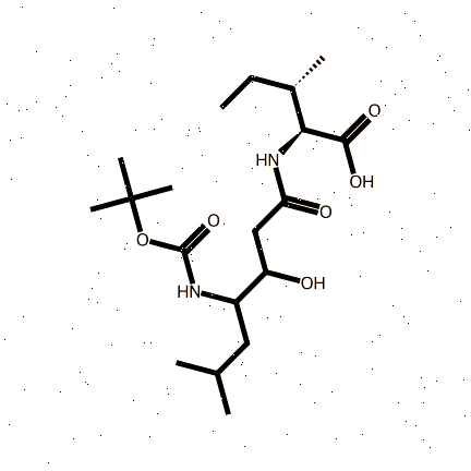 CC[C@H](C)[C@H](NC(=O)CC(O)C(CC(C)C)NC(=O)OC(C)(C)C)C(=O)O